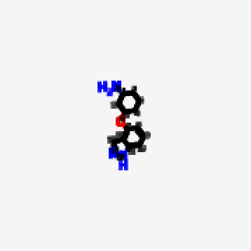 N[C@@H]1CCC[C@@H](Oc2cccc3[nH]ncc23)C1